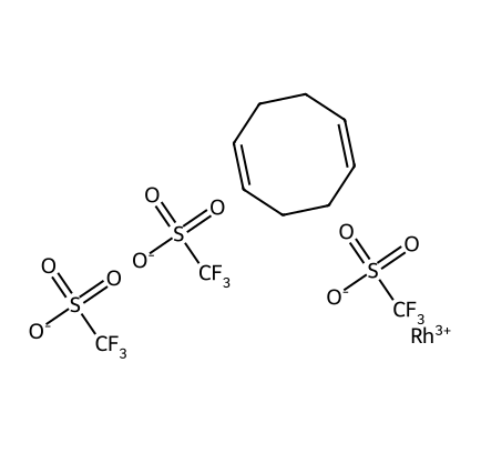 C1=CCCC=CCC1.O=S(=O)([O-])C(F)(F)F.O=S(=O)([O-])C(F)(F)F.O=S(=O)([O-])C(F)(F)F.[Rh+3]